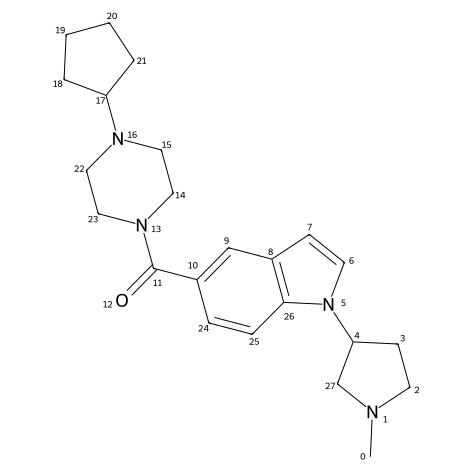 CN1CCC(n2ccc3cc(C(=O)N4CCN(C5CCCC5)CC4)ccc32)C1